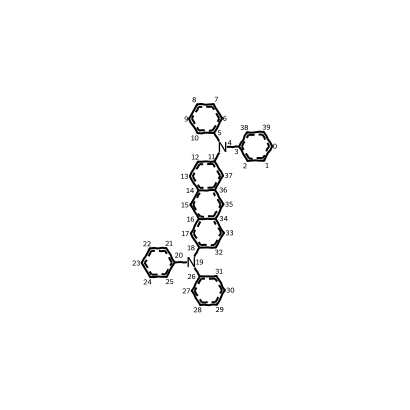 c1ccc(N(c2ccccc2)c2ccc3cc4cc(N(c5ccccc5)c5ccccc5)ccc4cc3c2)cc1